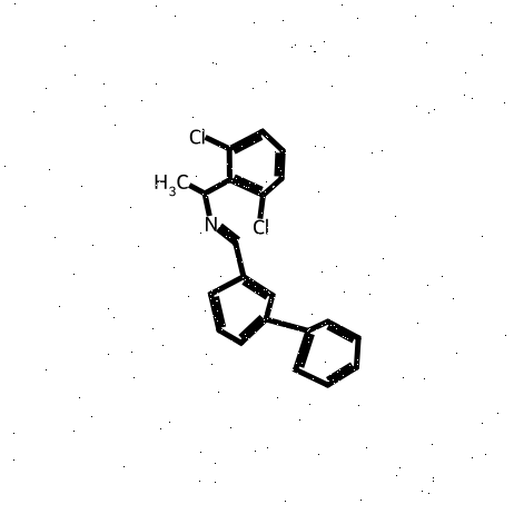 CC(/N=C/c1cccc(-c2ccccc2)c1)c1c(Cl)cccc1Cl